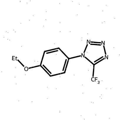 CCOc1ccc(-n2nnnc2C(F)(F)F)cc1